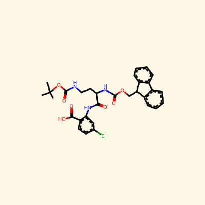 CC(C)(C)OC(=O)NCCC(NC(=O)OCC1c2ccccc2-c2ccccc21)C(=O)Nc1cc(Cl)ccc1C(=O)O